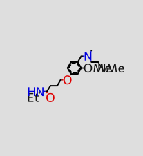 CCNC(=O)CCCOc1ccc(CN(C)CCNC)c(OC)c1